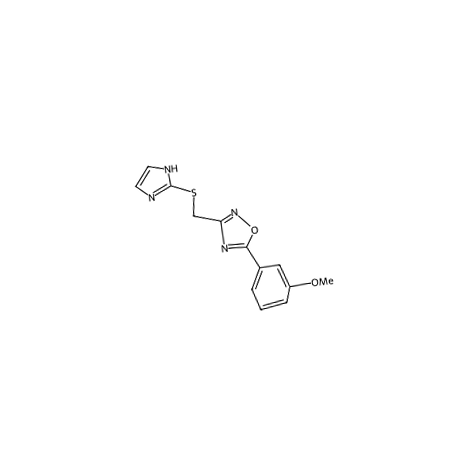 COc1cccc(-c2nc(CSc3ncc[nH]3)no2)c1